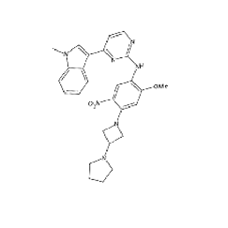 COc1cc(N2CC(N3CCCC3)C2)c([N+](=O)[O-])cc1Nc1nccc(-c2cn(C)c3ccccc23)n1